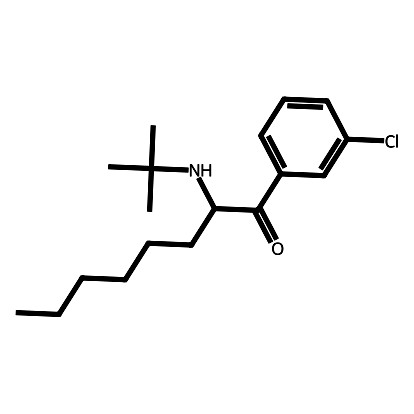 CCCCCCC(NC(C)(C)C)C(=O)c1cccc(Cl)c1